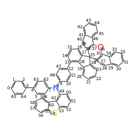 c1ccc(-c2ccc(N(c3ccc(-c4cccc5c4-c4ccccc4C54c5ccc6ccccc6c5Oc5c4ccc4ccccc54)cc3)c3cccc4sc5ccccc5c34)cc2)cc1